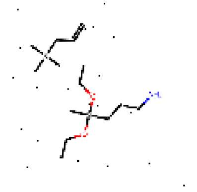 C=CC[Si](C)(C)C.CCO[Si](C)(CCCN)OCC